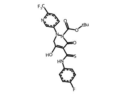 CC(C)(C)OC(=O)N1C(=O)C(C(=S)Nc2ccc(F)cc2)=C(O)CN1c1ccc(C(F)(F)F)nc1